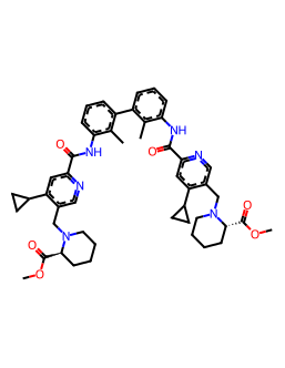 COC(=O)[C@@H]1CCCCN1Cc1cnc(C(=O)Nc2cccc(-c3cccc(NC(=O)c4cc(C5CC5)c(CN5CCCC[C@H]5C(=O)OC)cn4)c3C)c2C)cc1C1CC1